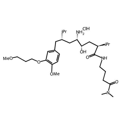 COCCCOc1cc(C[C@@H](C[C@H](N)[C@@H](O)C[C@H](C(=O)NCCCC(=O)N(C)C)C(C)C)C(C)C)ccc1OC.Cl